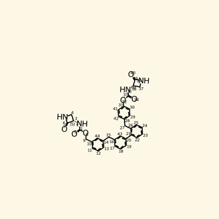 O=C(N[C@H]1CNC1=O)OCc1cccc(Cc2cccc(-c3ccccc3Cc3ccc(OC(=O)N[C@H]4CNC4=O)cc3)c2)c1